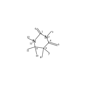 C=C1N(C)C(=C)C(C)(C)C(C)(C)N1C